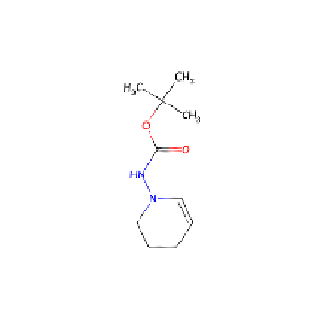 CC(C)(C)OC(=O)NN1C=CCCC1